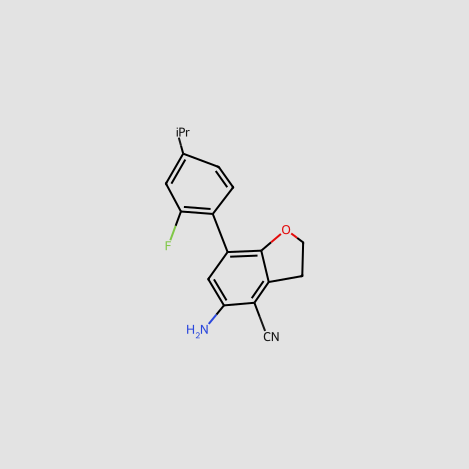 CC(C)c1ccc(-c2cc(N)c(C#N)c3c2OCC3)c(F)c1